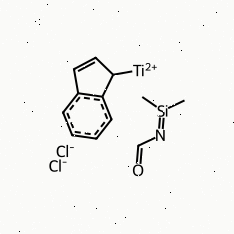 C[Si](C)=NC=O.[Cl-].[Cl-].[Ti+2][CH]1C=Cc2ccccc21